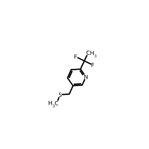 CSCc1ccc(C(C)(F)F)nc1